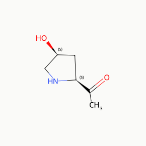 CC(=O)[C@@H]1C[C@H](O)CN1